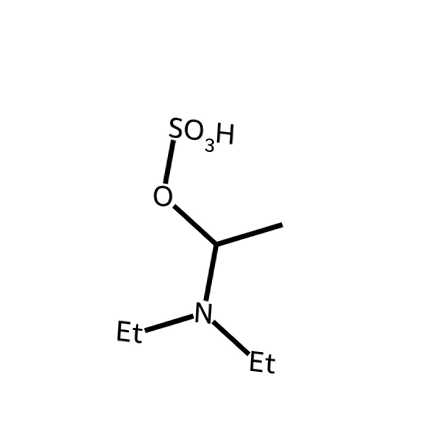 CCN(CC)C(C)OS(=O)(=O)O